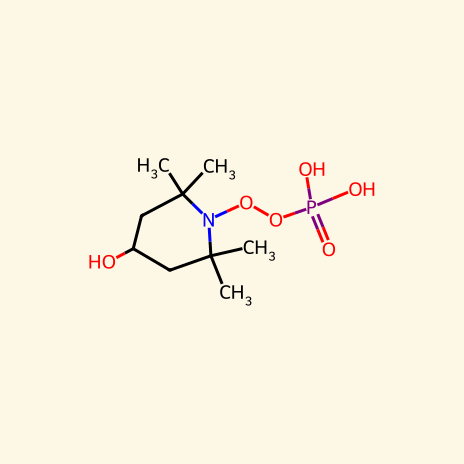 CC1(C)CC(O)CC(C)(C)N1OOP(=O)(O)O